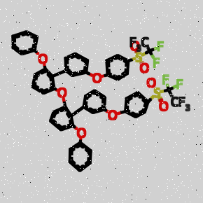 O=S(=O)(c1ccc(Oc2cccc(-c3c(Oc4ccccc4)cccc3Oc3cccc(Oc4ccccc4)c3-c3cccc(Oc4ccc(S(=O)(=O)C(F)(F)C(F)(F)F)cc4)c3)c2)cc1)C(F)(F)C(F)(F)F